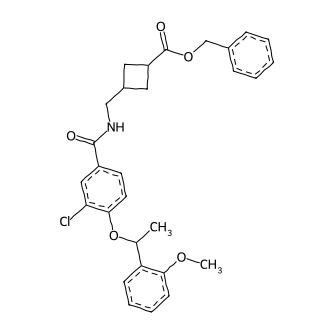 COc1ccccc1C(C)Oc1ccc(C(=O)NCC2CC(C(=O)OCc3ccccc3)C2)cc1Cl